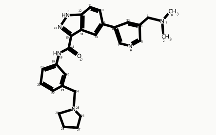 CN(C)Cc1cncc(-c2ccc3[nH]nc(C(=O)Nc4cccc(CN5CCCC5)c4)c3c2)c1